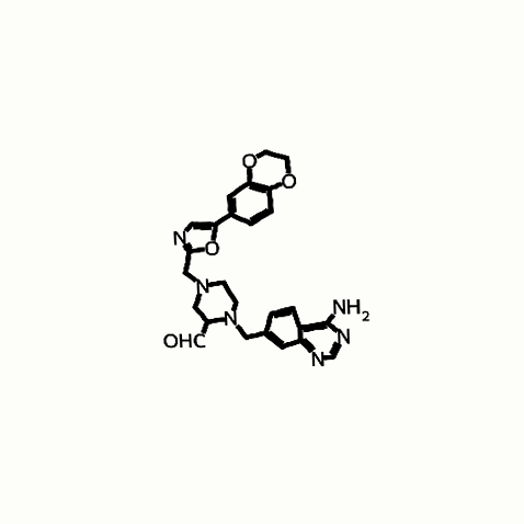 Nc1ncnc2cc(CN3CCN(Cc4ncc(-c5ccc6c(c5)OCCO6)o4)CC3C=O)ccc12